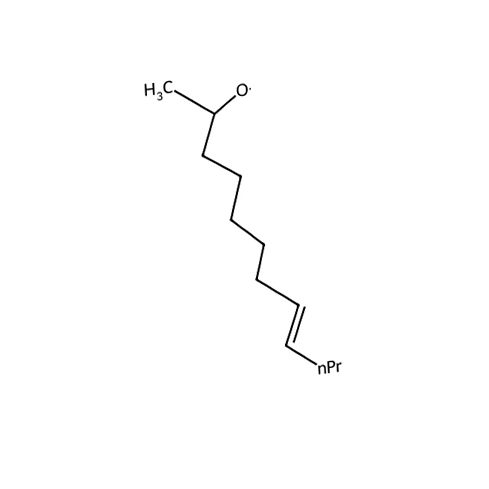 CCCC=CCCCCCC(C)[O]